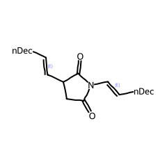 CCCCCCCCCC/C=C/C1CC(=O)N(/C=C/CCCCCCCCCC)C1=O